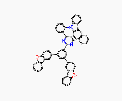 c1ccc(-c2cc(-c3ccccc3-n3c4ccccc4c4ccccc43)nc(-c3cc(-c4ccc5oc6ccccc6c5c4)cc(-c4ccc5oc6ccccc6c5c4)c3)n2)cc1